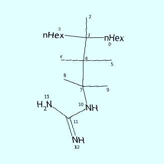 CCCCCCC(C)(CCCCCC)C(C)(C)C(C)(C)NC(=N)N